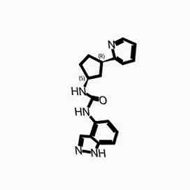 O=C(Nc1cccc2[nH]ncc12)N[C@H]1CC[C@@H](c2ccccn2)C1